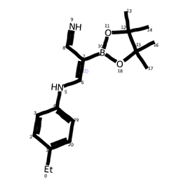 CCc1ccc(N/C=C(\C=N)B2OC(C)(C)C(C)(C)O2)cc1